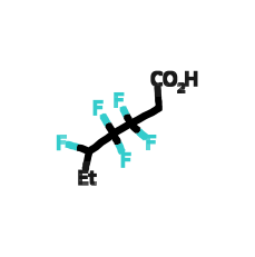 CCC(F)C(F)(F)C(F)(F)CC(=O)O